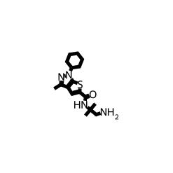 Cc1nn(C2CCCCC2)c2sc(C(=O)NC(C)(C)CN)cc12